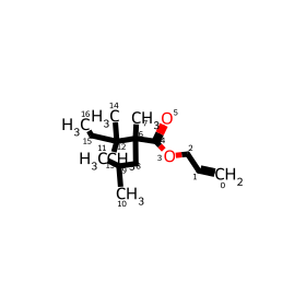 C=CCOC(=O)C(C)(CC(C)C)C(C)(C)CC